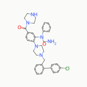 NC(=O)N(c1ccccc1)c1cc(C(=O)N2CCNCC2)ccc1N1CCN(Cc2ccccc2-c2ccc(Cl)cc2)CC1